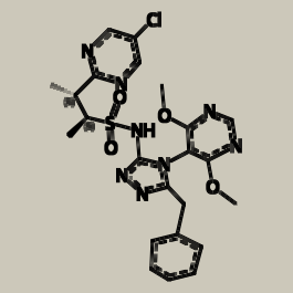 COc1ncnc(OC)c1-n1c(Cc2ccccc2)nnc1NS(=O)(=O)[C@@H](C)[C@H](C)c1ncc(Cl)cn1